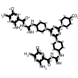 N=C(NC(=O)c1nc(Cl)c(N)nc1N)NC1CCN(c2nc(N3CCC(NC(=N)NC(=O)c4nc(Cl)c(N)nc4N)CC3)nc(N3CCC(C(=O)O)CC3)n2)CC1